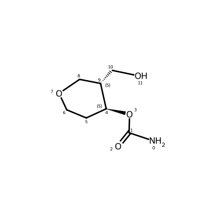 NC(=O)O[C@H]1CCOC[C@@H]1CO